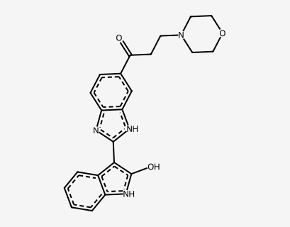 O=C(CCN1CCOCC1)c1ccc2nc(-c3c(O)[nH]c4ccccc34)[nH]c2c1